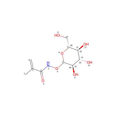 C=C(C)C(=O)NOC1O[C@H](CO)[C@@H](O)[C@H](O)[C@H]1O